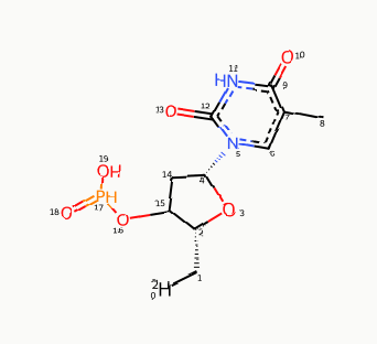 [2H]C[C@H]1O[C@@H](n2cc(C)c(=O)[nH]c2=O)CC1O[PH](=O)O